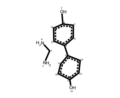 NCN.Oc1ccc(-c2ccc(O)cc2)cc1